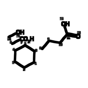 C1CCCCC1.CC(=O)O.CCCC(=O)O.CO